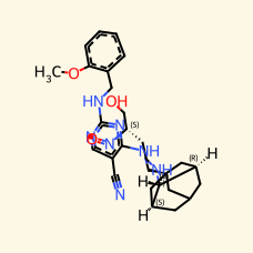 COc1ccccc1CNc1ncc(C#N)c(NC[C@]23CC4C[C@H](C2)[C@@H](NCC[C@@H](CO)N=O)[C@@H](C4)C3)n1